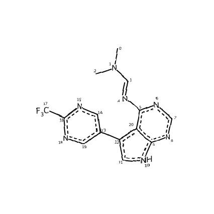 CN(C)C=Nc1ncnc2[nH]cc(-c3cnc(C(F)(F)F)nc3)c12